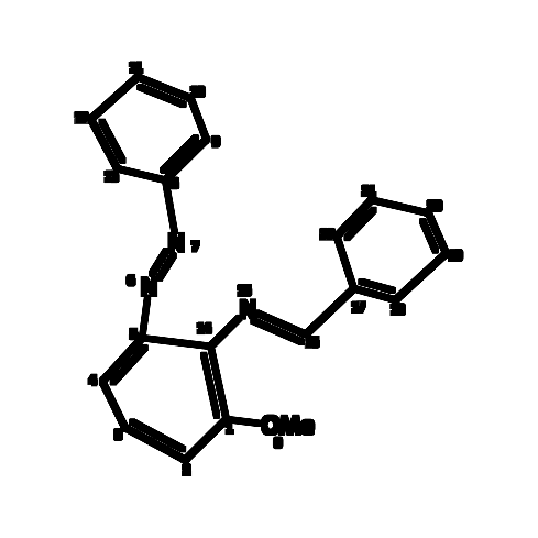 COc1cccc(N=Nc2ccccc2)c1N=Cc1ccccc1